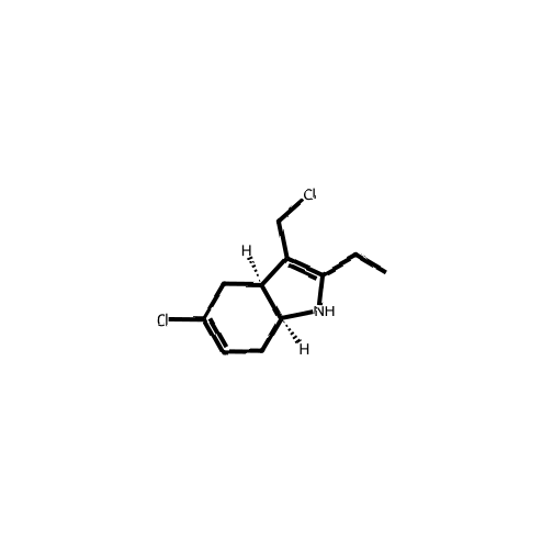 CCC1=C(CCl)[C@@H]2CC(Cl)=CC[C@@H]2N1